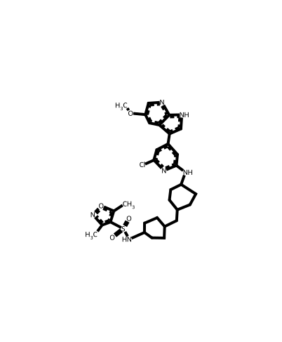 COc1cnc2[nH]cc(-c3cc(Cl)nc(NC4CCC(CC5CCC(NS(=O)(=O)c6c(C)noc6C)CC5)CC4)c3)c2c1